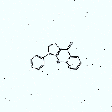 O=c1c2c([nH]c3ccccc13)N(c1ccccc1)CC2